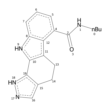 CCCCNC(=O)c1cccc2[nH]c3c(c12)CCc1cn[nH]c1-3